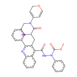 COC(=O)N(NC(=O)c1c(CC2NCCN(C3=CCOC=C3)C2=O)c(-c2ccccc2)nc2ccccc12)c1ccccc1